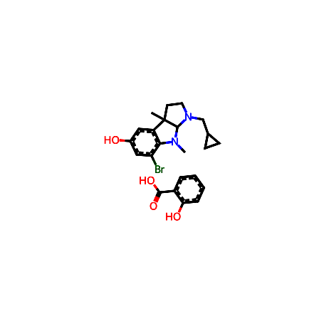 CN1c2c(Br)cc(O)cc2C2(C)CCN(CC3CC3)C12.O=C(O)c1ccccc1O